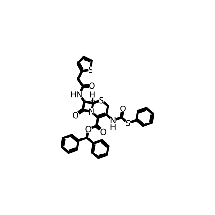 O=C(Cc1cccs1)NC1C(=O)N2C(C(=O)OC(c3ccccc3)c3ccccc3)=C(NC(=O)Sc3ccccc3)CS[C@@H]12